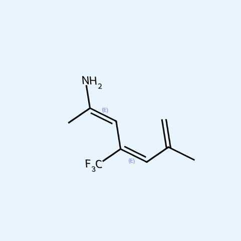 C=C(C)/C=C(\C=C(/C)N)C(F)(F)F